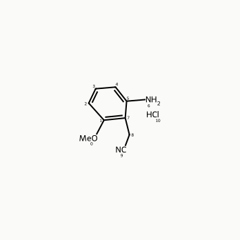 COc1cccc(N)c1CC#N.Cl